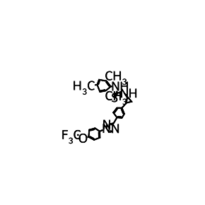 Cc1cc(C)c(NC(=S)NC2CC2c2ccc(-c3ncn(-c4ccc(OC(F)(F)F)cc4)n3)cc2)c(C)c1